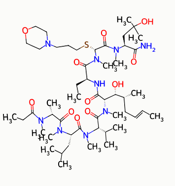 C/C=C/C[C@@H](C)[C@@H](O)[C@@H](C(=O)N[C@@H](CC)C(=O)N(C)[C@H](SCCCN1CCOCC1)C(=O)N(C)[C@@H](CC(C)(C)O)C(N)=O)N(C)C(=O)[C@H](C(C)C)N(C)C(=O)[C@H](CC(C)C)N(C)C(=O)[C@@H](C)N(C)C(=O)CC